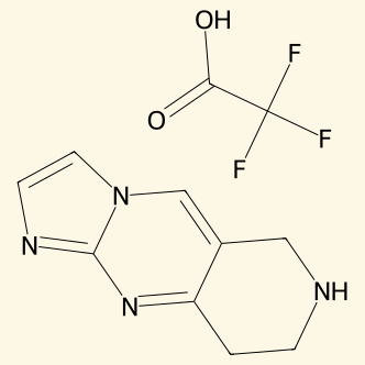 O=C(O)C(F)(F)F.c1cn2cc3c(nc2n1)CCNC3